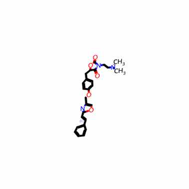 CN(C)CCN1C(=O)OC(Cc2ccc(OCc3coc(/C=C/c4ccccc4)n3)cc2)C1=O